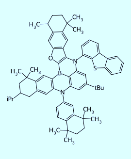 CC1CCC(C)(C)c2cc3c4c(oc3cc21)B1c2cc3c(cc2N(c2ccc5c(c2)C(C)(C)CCC5(C)C)c2cc(C(C)(C)C)cc(c21)N4c1cccc2c1sc1ccccc12)CC(C(C)C)CC3(C)C